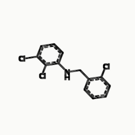 Clc1ccccc1CNc1cccc(Cl)c1Cl